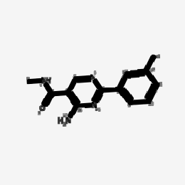 CNC(=O)c1cnc(-c2cccc(C)c2)nc1N